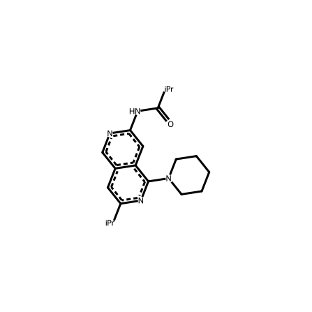 CC(C)C(=O)Nc1cc2c(N3CCCCC3)nc(C(C)C)cc2cn1